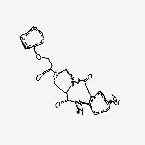 O=C1Nc2ccc(Br)cc2C(=O)N2CCN(C(=O)COc3ccccc3)CC12